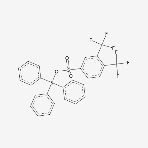 O=S(=O)(OS(c1ccccc1)(c1ccccc1)c1ccccc1)c1ccc(C(F)(F)F)c(C(F)(F)F)c1